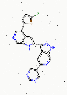 Fc1ccc(-c2cncc3[nH]c(-c4n[nH]c5cnc(-c6cncnc6)cc45)cc23)s1